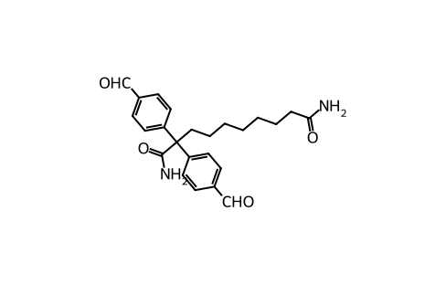 NC(=O)CCCCCCCC(C(N)=O)(c1ccc(C=O)cc1)c1ccc(C=O)cc1